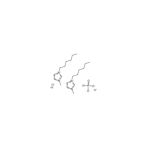 CCCCCC[n+]1ccn(C)c1.CCCCCC[n+]1ccn(C)c1.O=P([O-])([O-])[O-].[Cl-].[H+].[H+]